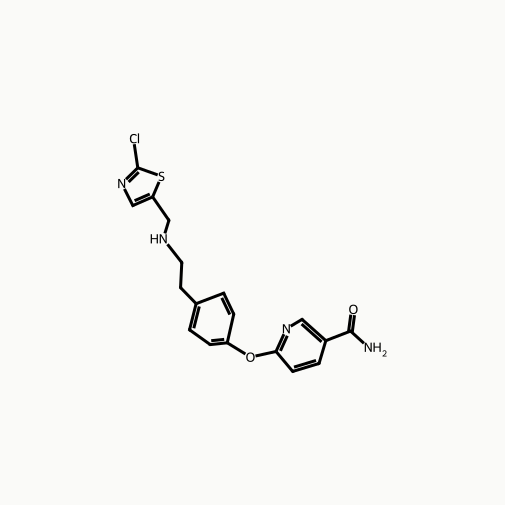 NC(=O)c1ccc(Oc2ccc(CCNCc3cnc(Cl)s3)cc2)nc1